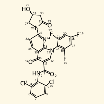 O=C(Nc1c(Cl)cccc1Cl)c1cn(-c2c(F)cc(F)cc2F)c2nc(N3C[C@@H](O)CC3=O)ccc2c1=O